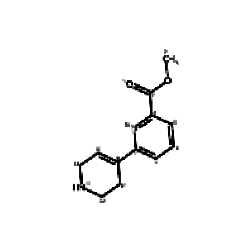 COC(=O)c1cccc(C2=CCNCC2)n1